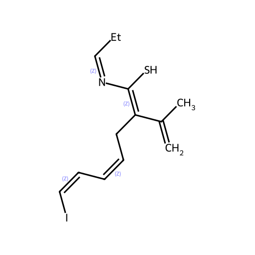 C=C(C)/C(C/C=C\C=C/I)=C(S)/N=C\CC